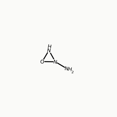 Nn1[nH]o1